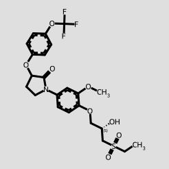 CCS(=O)(=O)C[C@@H](O)COc1ccc(N2CCC(Oc3ccc(OC(F)(F)F)cc3)C2=O)cc1OC